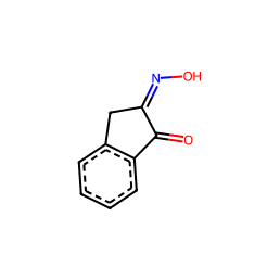 O=C1C(=NO)Cc2ccccc21